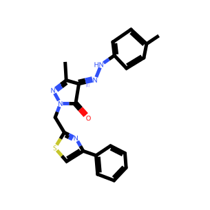 CC1=NN(Cc2nc(-c3ccccc3)cs2)C(=O)/C1=N/Nc1ccc(C)cc1